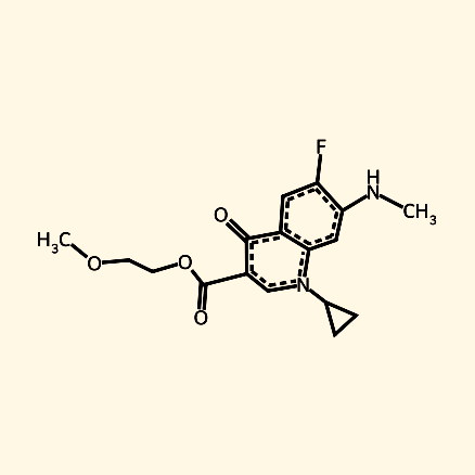 CNc1cc2c(cc1F)c(=O)c(C(=O)OCCOC)cn2C1CC1